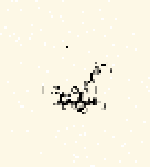 COCCCNC(=O)c1c(-c2ccc(C)s2)noc1N